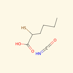 CCCCC(S)C(=O)O.N=C=O